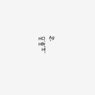 Br.Cl.I.[Ag]